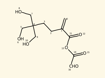 C=C(CCC(CO)(CO)CO)C(=O)OC(=O)C=O